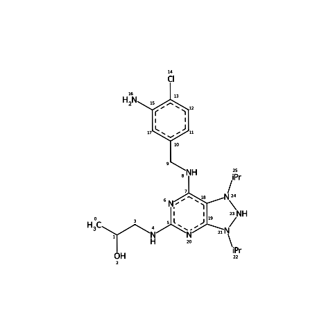 CC(O)CNc1nc(NCc2ccc(Cl)c(N)c2)c2c(n1)N(C(C)C)NN2C(C)C